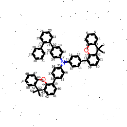 CC1(C)c2ccccc2Oc2c(-c3ccc(N(c4ccc(-c5ccccc5-c5ccccc5)cc4)c4ccc(-c5cccc6c5Oc5ccccc5C6(C)C)cc4)cc3)cccc21